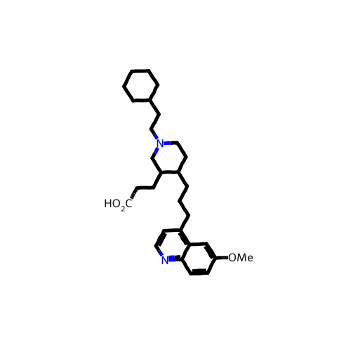 COc1ccc2nccc(CCCC3CCN(CCC4CCCCC4)CC3CCC(=O)O)c2c1